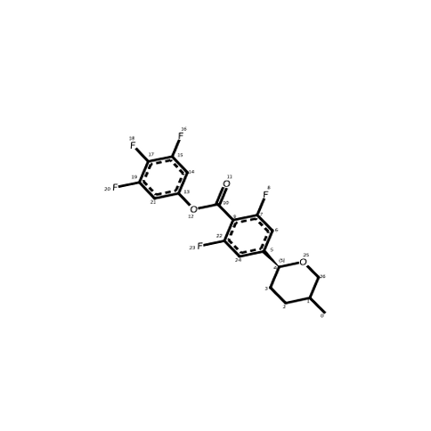 CC1CC[C@@H](c2cc(F)c(C(=O)Oc3cc(F)c(F)c(F)c3)c(F)c2)OC1